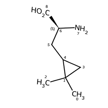 CC1(C)CC1C[C@H](N)C(=O)O